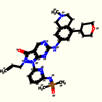 C=CCn1c(=O)c2cnc(Nc3cc4c(c(C5CCOCC5)c3)CCN(C)C4)nc2n1-c1cccc(N=S(C)(C)=O)n1